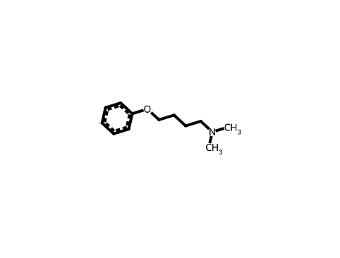 CN(C)CCCCOc1cc[c]cc1